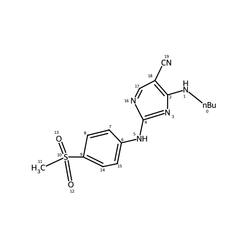 CCCCNc1nc(Nc2ccc(S(C)(=O)=O)cc2)ncc1C#N